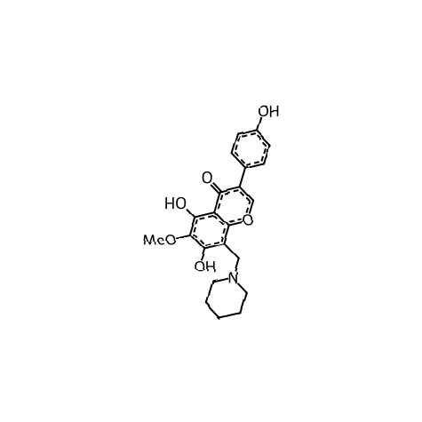 COc1c(O)c(CN2CCCCC2)c2occ(-c3ccc(O)cc3)c(=O)c2c1O